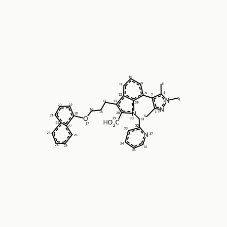 Cc1nn(C)c(C)c1-c1cccc2c(CCCOc3cccc4ccccc34)c(C(=O)O)n(Cc3ccccn3)c12